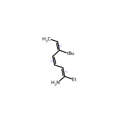 C\C=C(/C=C\C=C(/N)CC)C(C)(C)C